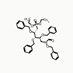 CCOP(=O)(C[C@@H](OCc1ccccc1)[C@@H](OCc1ccccc1)[C@H](CN(C=O)OCc1ccccc1)OCc1ccccc1)OCC